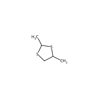 C[C]1SCC(C)S1